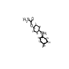 NC(=O)OC1CCC(Nc2ccc(F)cc2)CC1